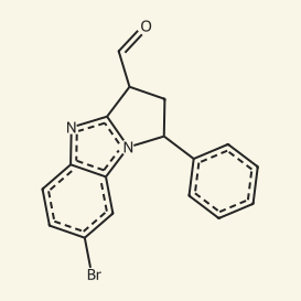 O=CC1CC(c2ccccc2)n2c1nc1ccc(Br)cc12